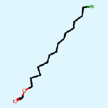 O=COCCCCCCCCCCCCCCBr